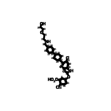 O=C(O)c1cc(Oc2nc3nc(-c4ccc(-c5ccc(CNCCOCCO)cc5)cc4)c(Cl)cc3[nH]2)ccc1Cl